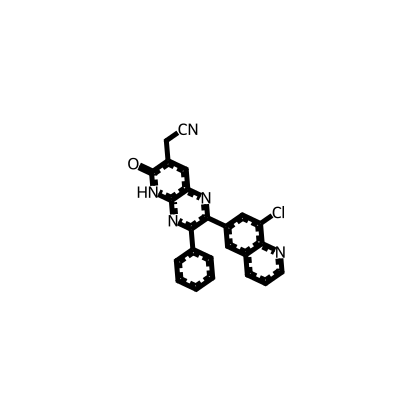 N#CCc1cc2nc(-c3cc(Cl)c4ncccc4c3)c(-c3ccccc3)nc2[nH]c1=O